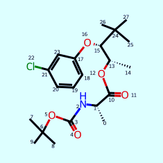 C[C@H](NC(=O)OC(C)(C)C)C(=O)O[C@@H](C)[C@H](Oc1cccc(Cl)c1)C(C)(C)C